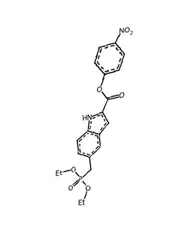 CCOP(=O)(Cc1ccc2[nH]c(C(=O)Oc3ccc([N+](=O)[O-])cc3)cc2c1)OCC